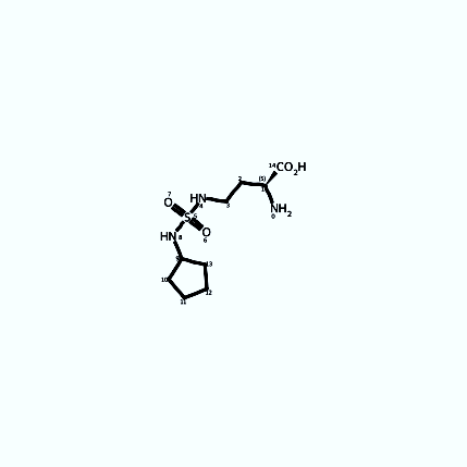 N[C@@H](CCNS(=O)(=O)NC1CCCC1)C(=O)O